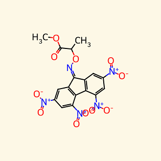 COC(=O)C(C)ON=C1c2cc([N+](=O)[O-])cc([N+](=O)[O-])c2-c2c1cc([N+](=O)[O-])cc2[N+](=O)[O-]